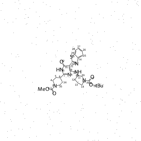 COC(=O)N1CCC(c2nc(N[C@@H]3CCCN(C(=O)OC(C)(C)C)C3)c(-c3nc4ccccc4s3)c(=O)[nH]2)CC1